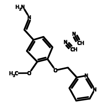 C#N.C#N.COc1cc(C=NN)ccc1OCc1cccnn1